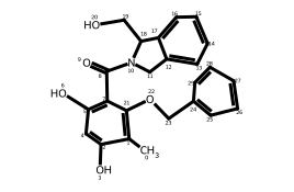 Cc1c(O)cc(O)c(C(=O)N2Cc3ccccc3C2CO)c1OCc1ccccc1